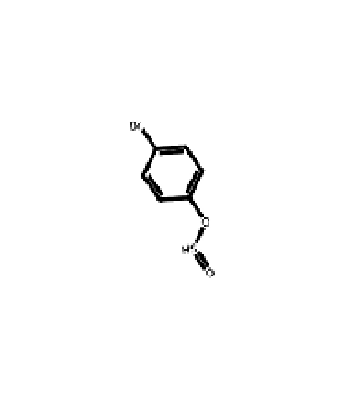 O=[SH]Oc1ccc(Br)cc1